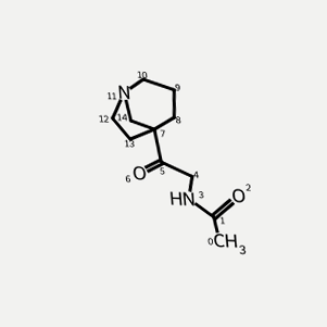 CC(=O)NCC(=O)C12CCCN(CC1)C2